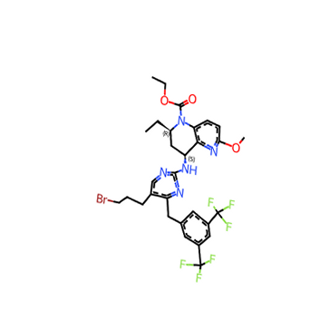 CCOC(=O)N1c2ccc(OC)nc2[C@@H](Nc2ncc(CCCBr)c(Cc3cc(C(F)(F)F)cc(C(F)(F)F)c3)n2)C[C@H]1CC